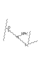 CCCCCCCCC(CCCCCC)C(=O)SCCCCCCN(CCCCCCSC(C)C(CCCCCC)CCCCCCCC)CCCCNC(C)C